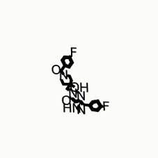 O=C(c1ccc(F)cc1)N1CCC(O)(Cn2cnc3c(-c4ccc(F)cc4)n[nH]c3c2=O)CC1